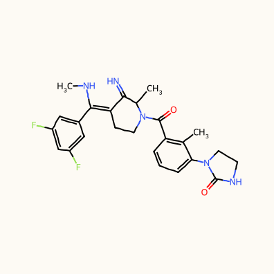 CN/C(=C1/CCN(C(=O)c2cccc(N3CCNC3=O)c2C)C(C)C1=N)c1cc(F)cc(F)c1